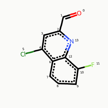 O=Cc1cc(Cl)c2cccc(F)c2n1